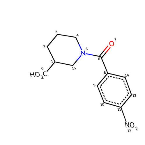 O=C(O)C1CCCN(C(=O)c2ccc([N+](=O)[O-])cc2)C1